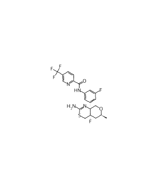 C[C@H]1C[C@@]2(F)CSC(N)=N[C@@]2(c2cc(F)cc(NC(=O)c3ccc(C(F)(F)F)cn3)c2)CO1